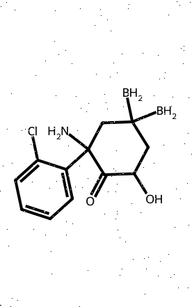 BC1(B)CC(O)C(=O)C(N)(c2ccccc2Cl)C1